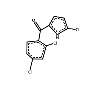 O=C(c1ccc(Cl)[nH]1)c1ccc(Cl)cc1Cl